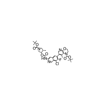 Cc1c(-c2cc3cc(NC(=O)O[C@H]4CN(C(=O)OC(C)(C)C)C[C@H]4C)ncc3c(Cl)c2F)cnc2c1N(C(=O)OC(C)(C)C)CCO2